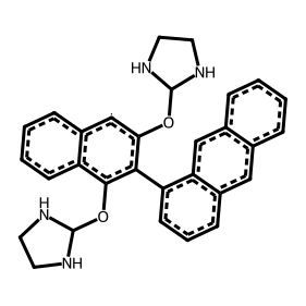 [c]1c(OC2NCCN2)c(-c2cccc3cc4ccccc4cc23)c(OC2NCCN2)c2ccccc12